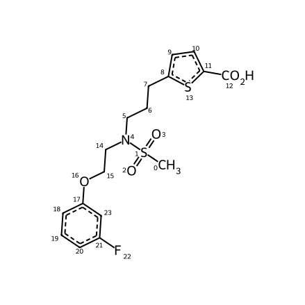 CS(=O)(=O)N(CCCc1ccc(C(=O)O)s1)CCOc1cccc(F)c1